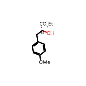 CCOC(=O)[C@H](O)Cc1ccc(OC)cc1